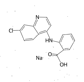 O=C(O)c1ccccc1Nc1ccnc2cc(Cl)ccc12.[Na]